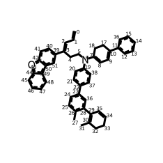 C=C/C=C(\CCN(C1=CC=C(c2ccccc2)CC1)c1ccc(-c2ccc(C)c(C3=C(C)CCC=C3)c2)cc1)c1ccc2oc3ccccc3c2c1